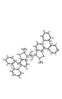 CC(C)C1Cc2c(-c3ccccc3-c3ccccc3)cccc2C1[Si](C)(C)C1c2cccc(-c3ccccc3-c3ccccc3)c2CC1C(C)C